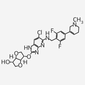 CN1CCC=C(c2cc(F)c(CNc3nc4nc(O[C@@H]5CO[C@H]6[C@@H]5OC[C@H]6O)[nH]c4cc3Cl)c(F)c2)C1